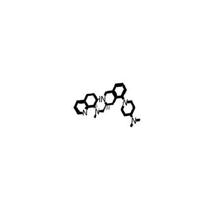 CN(C)C1CCN(c2cccc3c2C[C@@H](CN(C)[C@H]2CCCc4cccnc42)NC3)CC1